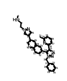 CNCCn1cc(-c2cnc3ccc(-c4c(-c5cccc(C)n5)nnn4Cc4ccccc4)cc3c2)cn1